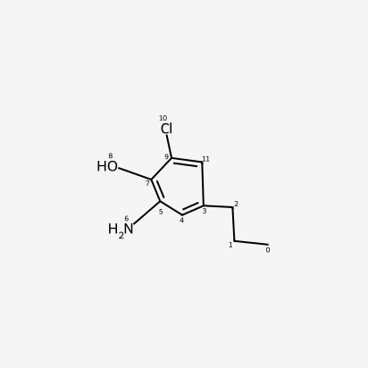 CCCc1cc(N)c(O)c(Cl)c1